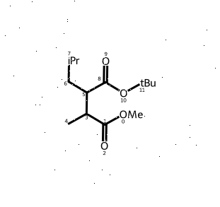 COC(=O)C(C)C(CC(C)C)C(=O)OC(C)(C)C